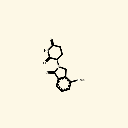 COc1cccc2c1CN([C@@H]1CCC(=O)NC1=O)C2=O